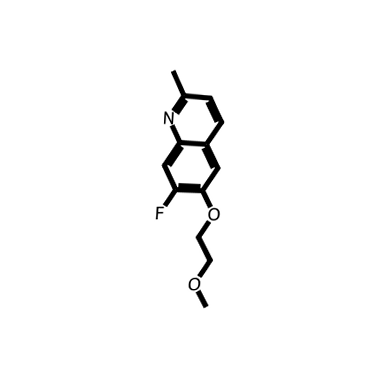 COCCOc1cc2ccc(C)nc2cc1F